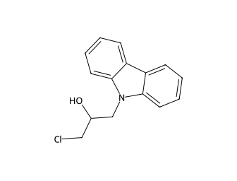 OC(CCl)Cn1c2ccccc2c2ccccc21